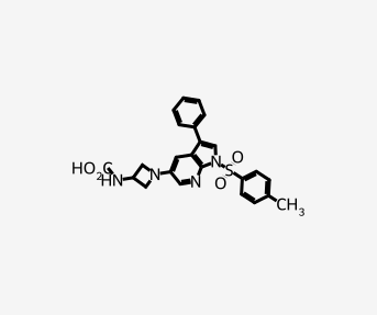 Cc1ccc(S(=O)(=O)n2cc(-c3ccccc3)c3cc(N4CC(NC(=O)O)C4)cnc32)cc1